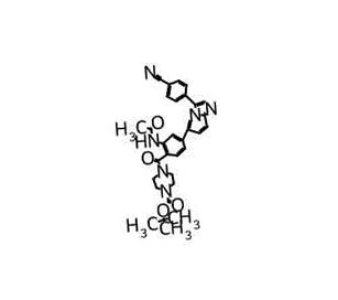 CC(=O)Nc1cc(-c2ccc3ncc(-c4ccc(C#N)cc4)n3c2)ccc1C(=O)N1CCN(C(=O)OC(C)(C)C)CC1